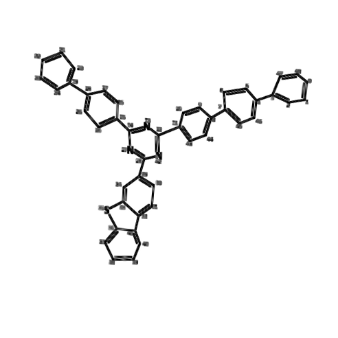 c1ccc(-c2ccc(-c3ccc(-c4nc(-c5ccc(-c6ccccc6)cc5)nc(-c5ccc6c(c5)sc5ccccc56)n4)cc3)cc2)cc1